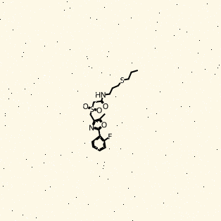 CCCSCCCNC(=O)CS(=O)(=O)Cc1nc(-c2ccccc2F)oc1C